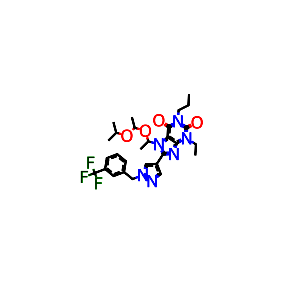 CCCn1c(=O)c2c(nc(-c3cnn(Cc4cccc(C(F)(F)F)c4)c3)n2C(C)OC(C)OC(C)C)n(CC)c1=O